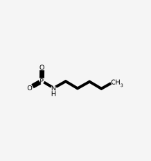 CCCCCNP(=O)=O